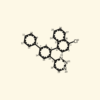 Clc1ccc(-c2cc(-c3ccccc3)ccc2-c2ccnnn2)c2ccccc12